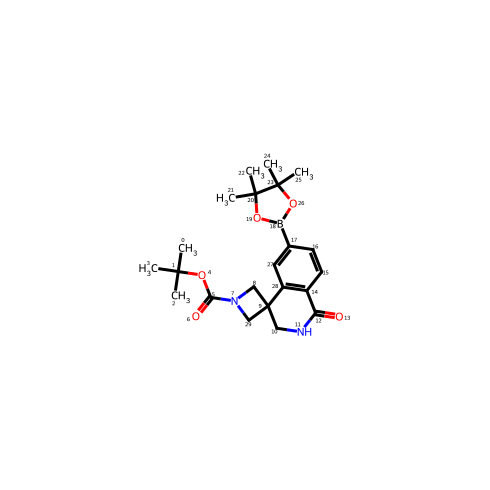 CC(C)(C)OC(=O)N1CC2(CNC(=O)c3ccc(B4OC(C)(C)C(C)(C)O4)cc32)C1